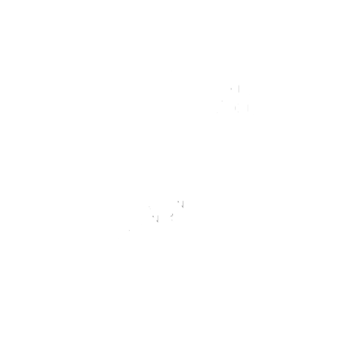 CC1(C)c2ccc(-c3ccc(-c4cc(-c5cccc6c5C(c5ccccc5)(c5ccccc5)c5ccccc5-6)nc(-c5ccccc5)n4)c4ccccc34)cc2-c2c1ccc1ccccc21